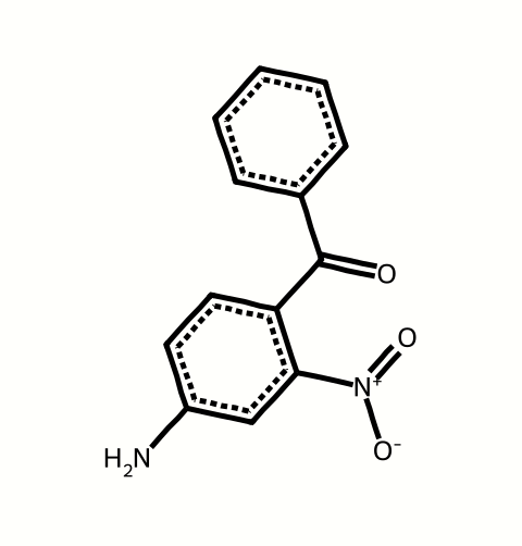 Nc1ccc(C(=O)c2ccccc2)c([N+](=O)[O-])c1